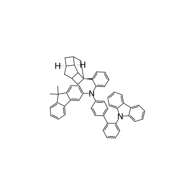 CC1(C)c2ccccc2-c2cc(N(c3ccc(-c4ccccc4-n4c5ccccc5c5ccccc54)cc3)c3ccccc3[C@]34CC5C[C@H]6CC(C3)[C@H]6C54)ccc21